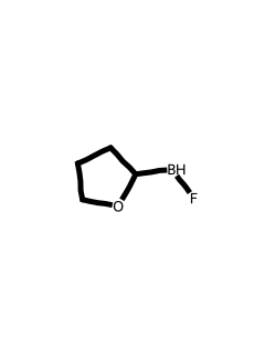 FBC1CCCO1